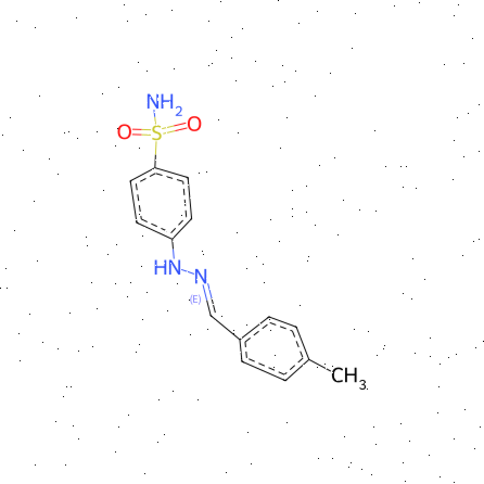 Cc1ccc(/C=N/Nc2ccc(S(N)(=O)=O)cc2)cc1